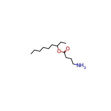 CCCCCCC(CC)OC(=O)CCCN